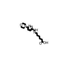 O=C(O)CCCCC=NNc1ccc(N2CCOCC2)nn1